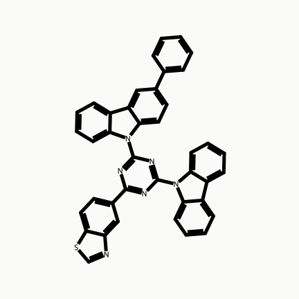 c1ccc(-c2ccc3c(c2)c2ccccc2n3-c2nc(-c3ccc4scnc4c3)nc(-n3c4ccccc4c4ccccc43)n2)cc1